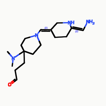 CN(C)C1(CCC=O)CCN(/C=C2\CC/C(=C/N)NC2)CC1